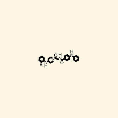 O=C(NCC(=O)N1CCC(Nc2ccccc2Br)CC1)c1ccc(Nc2ccccc2)cc1